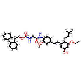 CCOc1cc(O)cc(/C=C/c2ccc(NC(=O)CNC(=O)OCC3c4ccccc4-c4ccccc43)c(OC)c2)c1CC=C(C)C